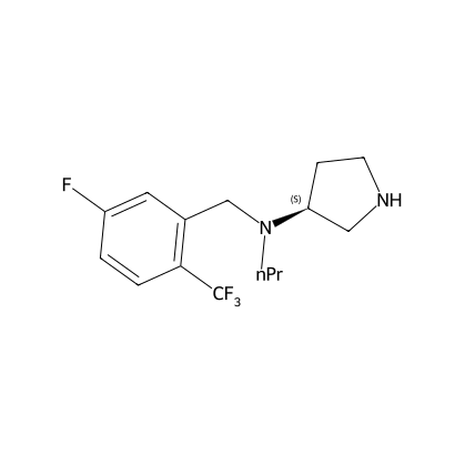 CCCN(Cc1cc(F)ccc1C(F)(F)F)[C@H]1CCNC1